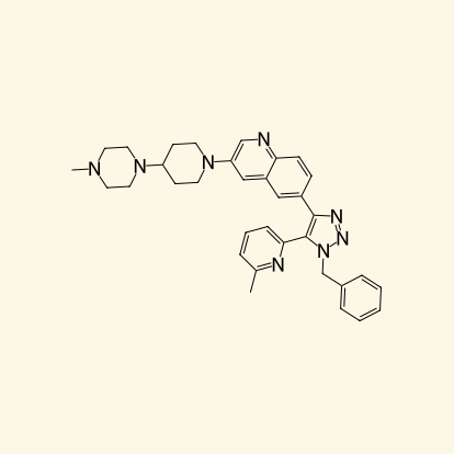 Cc1cccc(-c2c(-c3ccc4ncc(N5CCC(N6CCN(C)CC6)CC5)cc4c3)nnn2Cc2ccccc2)n1